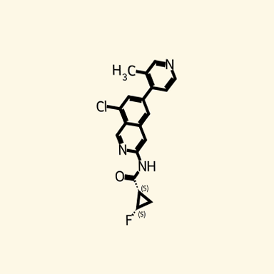 Cc1cnccc1-c1cc(Cl)c2cnc(NC(=O)[C@@H]3C[C@@H]3F)cc2c1